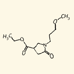 CCOC(=O)C1CC(=O)N(CCCOC)C1